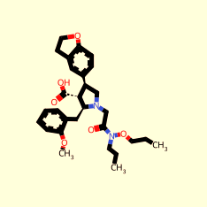 CCCON(CCC)C(=O)CN1C[C@H](c2ccc3c(c2)CCO3)[C@@H](C(=O)O)[C@@H]1Cc1ccccc1OC